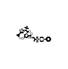 CC(CNC(=O)C1CC(O)CN1C(=O)[C@@H](n1cc(C2CC2)nn1)C(C)(C)C)S(=O)(=O)N1CCN(c2ccccc2)CC1